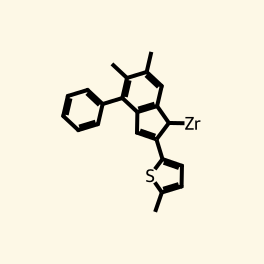 Cc1ccc(C2=Cc3c(cc(C)c(C)c3-c3ccccc3)[CH]2[Zr])s1